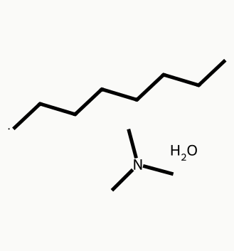 CN(C)C.O.[CH2]CCCCCCC